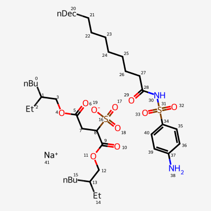 CCCCC(CC)COC(=O)CC(C(=O)OCC(CC)CCCC)S(=O)(=O)[O-].CCCCCCCCCCCCCCCCCC(=O)NS(=O)(=O)c1ccc(N)cc1.[Na+]